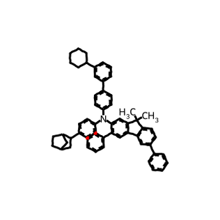 CC1(C)c2ccc(-c3ccccc3)cc2-c2cc(-c3ccccc3)c(N(c3ccc(-c4cccc(C5CCCCC5)c4)cc3)c3ccc(C4CC5CCC4C5)cc3)cc21